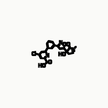 CN1CCC(O)(c2cc(-c3cccc(-c4cc(Cl)cc(C(=O)O)n4)c3)no2)C1=O